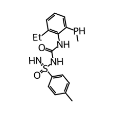 CCc1cccc(PC)c1NC(=O)NS(=N)(=O)c1ccc(C)cc1